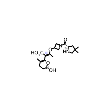 CC1=C(/C(C(=O)O)=C(\C)OC2CN(C(=O)[C@@H]3CC(C)(C)CN3)C2)OB(O)CC1